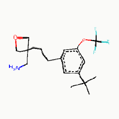 CC(C)(C)c1cc(CCC2(CN)COC2)cc(OC(F)(F)F)c1